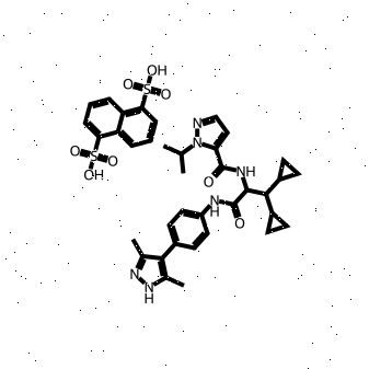 Cc1n[nH]c(C)c1-c1ccc(NC(=O)C(NC(=O)c2ccnn2C(C)C)C(C2CC2)C2CC2)cc1.O=S(=O)(O)c1cccc2c(S(=O)(=O)O)cccc12